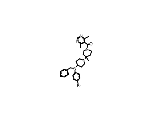 Cc1ncnc(C)c1C(=O)N1CCC(C)(N2CCC(N(Cc3ccccc3)c3ccc(Br)cc3)CC2)CC1